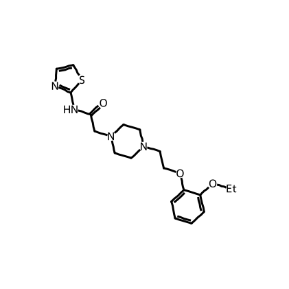 CCOc1ccccc1OCCN1CCN(CC(=O)Nc2nccs2)CC1